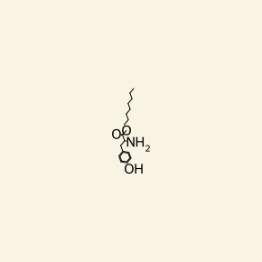 CCCCCCCCOC(=O)C(N)Cc1ccc(O)cc1